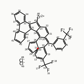 FC(F)(F)c1cccc(C(c2cccc(C(F)(F)F)c2)=c2ccc3c(c2C2=CC=CC2)-c2c(c4ccccc4c4ccccc24)[C]=3[Zr+2])c1.[Cl-].[Cl-]